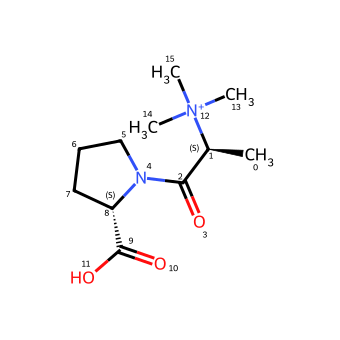 C[C@@H](C(=O)N1CCC[C@H]1C(=O)O)[N+](C)(C)C